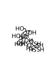 O=C(OS)C(S)(S)C(S)(S)S.OCC(CO)(CO)CO.OCC(CO)(CO)CO